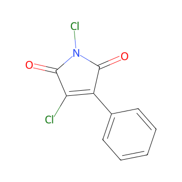 O=C1C(Cl)=C(c2ccccc2)C(=O)N1Cl